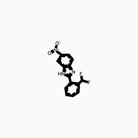 O=[N+]([O-])c1ccc2nc(-c3ccccc3C(F)F)[nH]c2c1